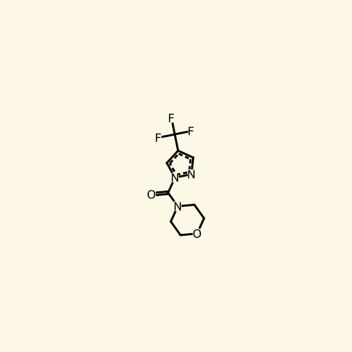 O=C(N1CCOCC1)n1cc(C(F)(F)F)cn1